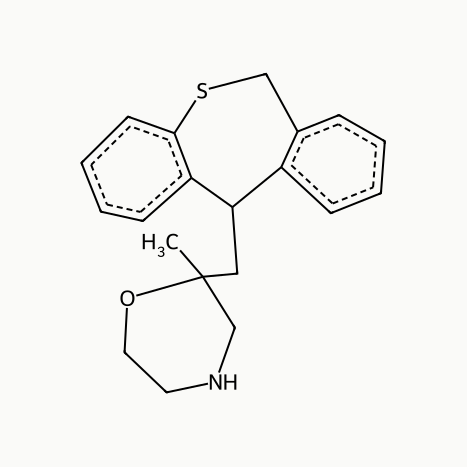 CC1(CC2c3ccccc3CSc3ccccc32)CNCCO1